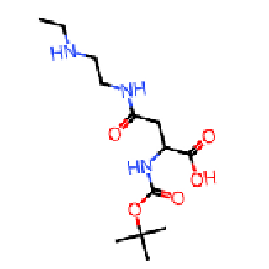 CCNCCNC(=O)CC(NC(=O)OC(C)(C)C)C(=O)O